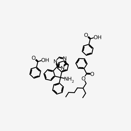 CCCCC(CC)COC(=O)c1ccccc1.NC(c1ccccc1)(c1ccccc1)c1ccccc1-c1ncncn1.O=C(O)c1ccccc1.O=C(O)c1ccccc1